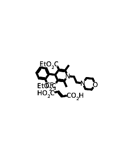 CCOC(=O)C1=C(C)N(CCN2CCOCC2)C(C)=C(C(=O)OCC)C1c1ccccc1C(F)(F)F.O=C(O)C=CC(=O)O